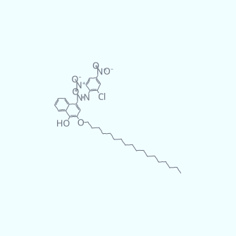 CCCCCCCCCCCCCCCCCCOc1cc(N=Nc2c(Cl)cc([N+](=O)[O-])cc2[N+](=O)[O-])c2ccccc2c1O